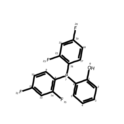 Oc1ccccc1P(c1ccc(F)cc1F)c1ccc(F)cc1F